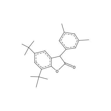 Cc1cc(C)cc(C2C(=O)Oc3c2cc(C(C)(C)C)cc3C(C)(C)C)c1